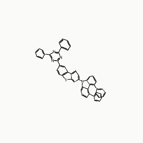 c1ccc(-c2nc(-c3ccccc3)nc(-c3ccc4sc5cc(-n6c7cccc(-c8ccccc8)c7c7c(-c8ccccc8)cccc76)ccc5c4c3)n2)cc1